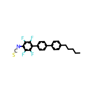 CCCCCc1ccc(-c2ccc(-c3c(F)c(F)c(N=C=S)c(F)c3F)cc2)cc1